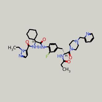 CCC(=O)N[C@H](Cc1ccc(NC(=O)[C@@H](NC(=O)c2ccnn2CC)C2CCCCC2)c(F)c1)C(=O)N1CCN(Cc2ccccn2)CC1